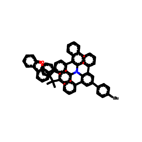 CC(C)(C)c1ccc(-c2cc(-c3ccccc3)c(N(c3ccc4c(c3)-c3ccccc3C4(C)C)c3ccc4ccccc4c3-c3ccc(-c4cccc5c4oc4ccccc45)cc3)c(-c3ccccc3)c2)cc1